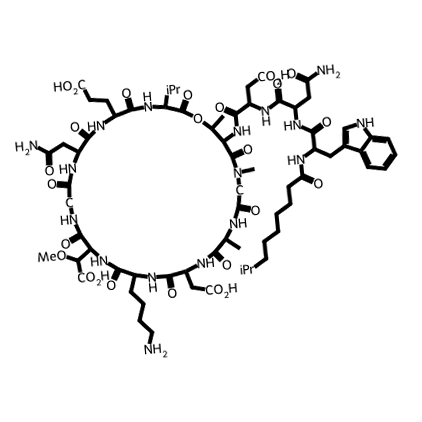 COC(C(=O)O)C1NC(=O)C(CCCCN)NC(=O)C(CC(=O)O)NC(=O)C(C)NC(=O)CN(C)C(=O)C(NC(=O)C(CC(=O)O)NC(=O)C(CC(N)=O)NC(=O)C(Cc2c[nH]c3ccccc23)NC(=O)CCCCCCC(C)C)C(C)OC(=O)C(C(C)C)NC(=O)C(CCC(=O)O)NC(=O)C(CC(N)=O)NC(=O)CNC1=O